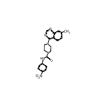 Cc1ccc2c(N3CCN(C(=O)Nc4ccc([N+](=O)[O-])cc4)CC3)ncnc2c1